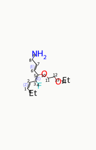 CC\C=C/C(F)=C(\C=C\CN)OCCOCC